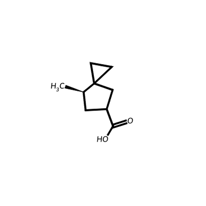 C[C@@H]1CC(C(=O)O)CC12CC2